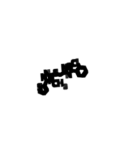 Cn1c(SCc2noc(-c3ccccc3Cl)n2)nnc1-c1cccs1